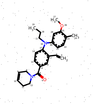 C=Cc1cc(C(=O)N2CC=CCC2)ccc1N(CCC)c1ccc(C)c(OC)c1